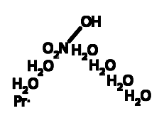 O.O.O.O.O.O.O=[N+]([O-])O.[Pr]